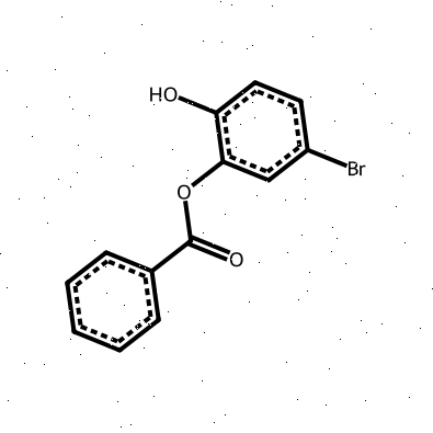 O=C(Oc1cc(Br)ccc1O)c1ccccc1